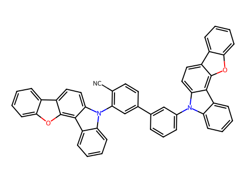 N#Cc1ccc(-c2cccc(-n3c4ccccc4c4c5oc6ccccc6c5ccc43)c2)cc1-n1c2ccccc2c2c3oc4ccccc4c3ccc21